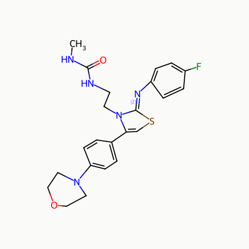 CNC(=O)NCCn1c(-c2ccc(N3CCOCC3)cc2)cs/c1=N\c1ccc(F)cc1